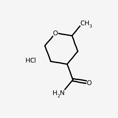 CC1CC(C(N)=O)CCO1.Cl